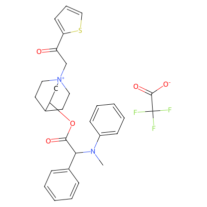 CN(c1ccccc1)C(C(=O)OC1C[N+]2(CC(=O)c3cccs3)CCC1CC2)c1ccccc1.O=C([O-])C(F)(F)F